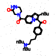 CCCCc1cc2cc(C(=O)N3CCNC(=O)C3)ccn2c1C(=O)c1ccc(CCCN(CCCC)CCCC)cc1